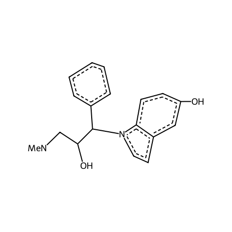 CNCC(O)C(c1ccccc1)n1ccc2cc(O)ccc21